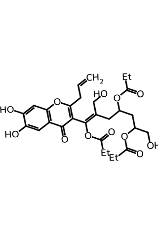 C=CCc1oc2cc(O)c(O)cc2c(=O)c1/C(OC(=O)CC)=C(\CO)CC(CC(CO)OC(=O)CC)OC(=O)CC